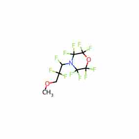 COCC(F)(F)C(F)N1C(F)(F)C(F)(F)OC(F)(F)C1(F)F